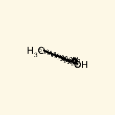 CCCCCCCCC=CCCCCCCCc1cccc(O)c1